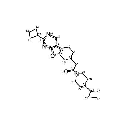 O=C(CN1CCc2c(oc3nc(C4CCC4)ncc23)C1)N1CCN(C2CCC2)CC1